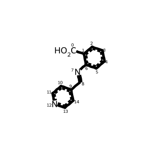 O=C(O)c1ccccc1N=Cc1ccncc1